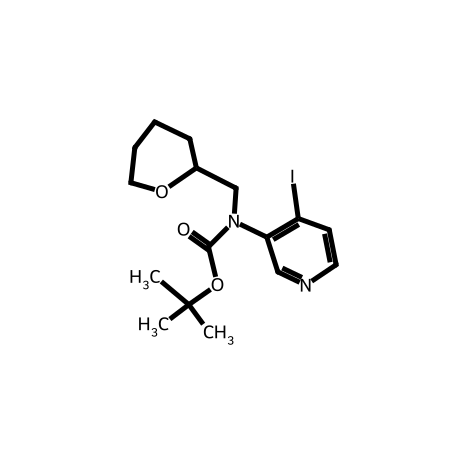 CC(C)(C)OC(=O)N(CC1CCCCO1)c1cnccc1I